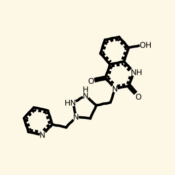 O=c1[nH]c2c(O)cccc2c(=O)n1CC1CN(Cc2ccccn2)NN1